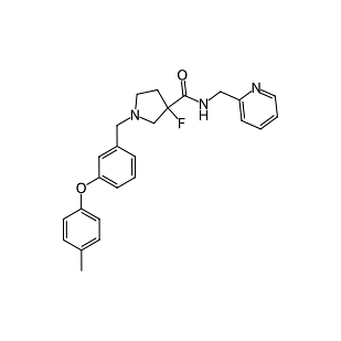 Cc1ccc(Oc2cccc(CN3CCC(F)(C(=O)NCc4ccccn4)C3)c2)cc1